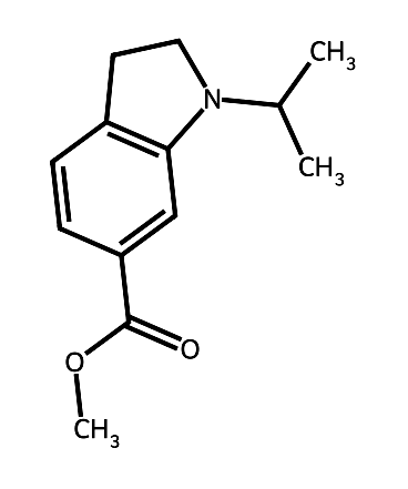 COC(=O)c1ccc2c(c1)N(C(C)C)CC2